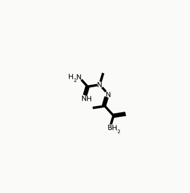 BC(=C)/C(C)=N/N(C)C(=N)N